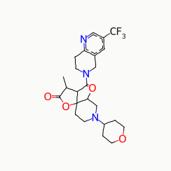 CC1C(=O)OC2(CCN(C3CCOCC3)CC2C)C1C(=O)N1CCc2ncc(C(F)(F)F)cc2C1